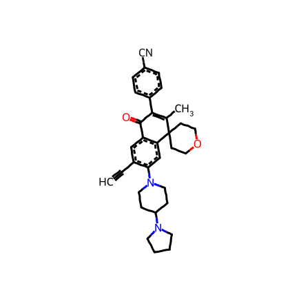 C#Cc1cc2c(cc1N1CCC(N3CCCC3)CC1)C1(CCOCC1)C(C)=C(c1ccc(C#N)cc1)C2=O